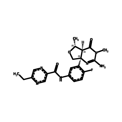 CCc1cnc(C(=O)Nc2ccc(F)c([C@]34CO[C@H](C)[C@H]3C(=O)N(C)C(N)=N4)c2)cn1